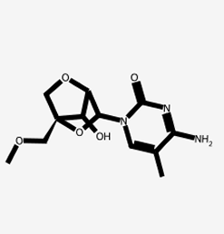 COC[C@]12COC(C(n3cc(C)c(N)nc3=O)O1)C2O